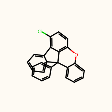 Clc1ccc2c3c1-c1ccccc1C3(c1ccccc1)c1ccccc1O2